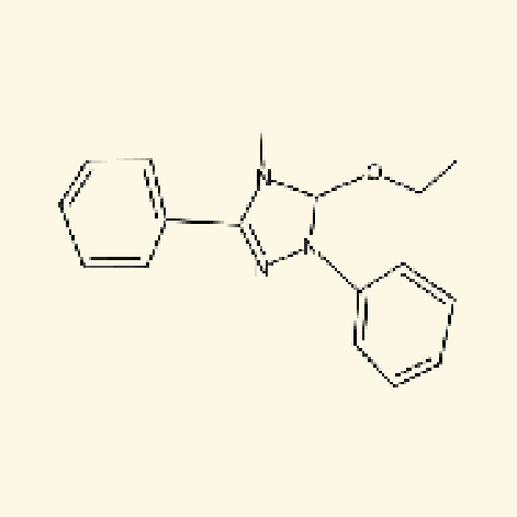 CCOC1N(C)C(c2ccccc2)=NN1c1ccccc1